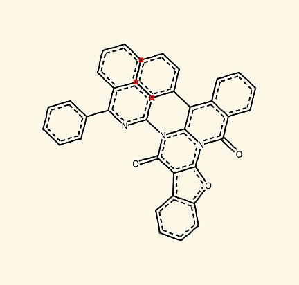 O=c1c2c3ccccc3oc2n2c(=O)c3ccccc3c(-c3ccccc3)c2n1-c1nc(-c2ccccc2)c2ccccc2n1